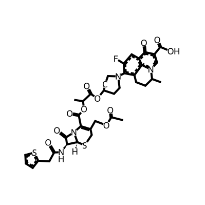 CC(=O)OCC1=C(C(=O)OC(C)C(=O)OC2CCN(c3c(F)cc4c(=O)c(C(=O)O)cn5c4c3CCC5C)CC2)N2C(=O)[C@H](NC(=O)Cc3cccs3)[C@@H]2SC1